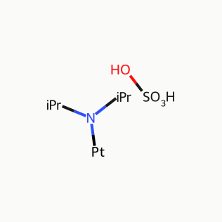 CC(C)[N]([Pt])C(C)C.O=S(=O)(O)O